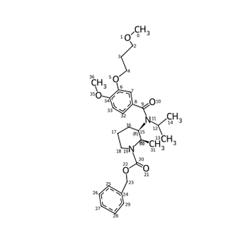 COCCCOc1cc(C(=O)N(C(C)C)[C@@H]2CCCN(C(=O)OCc3ccccc3)[C@@H]2C)ccc1OC